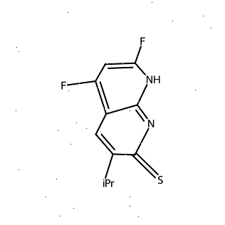 CC(C)c1cc2c(F)cc(F)[nH]c-2nc1=S